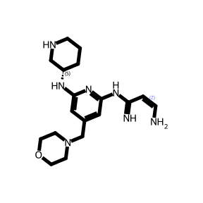 N=C(/C=C\N)Nc1cc(CN2CCOCC2)cc(N[C@H]2CCCNC2)n1